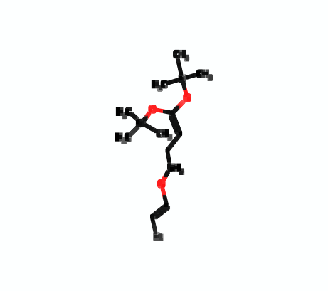 CCC=CO[SiH2]CC=C(O[Si](C)(C)C)O[Si](C)(C)C